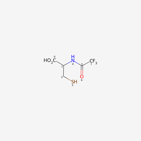 O=C(O)C(CS)NC(=O)C(F)(F)F